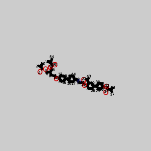 C=C(C)C(=O)OCC(CCOc1ccc(-c2ccc(/C=C/C(=O)Oc3ccc(-c4ccc(OC(=O)C(=C)C)cc4)cc3CC)cc2)cc1)COC(=O)C(=C)C